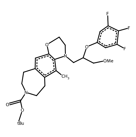 COCC(CN1CCOc2cc3c(c(C)c21)CCN(C(=O)OC(C)(C)C)CC3)Oc1cc(F)c(F)c(F)c1